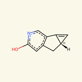 Oc1cc2c(cn1)C1=C[C@@H]1C2